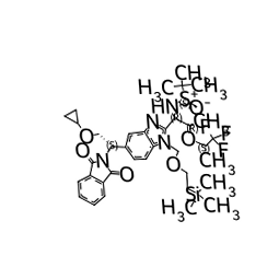 C[C@H](O[C@H](C)[C@H](N[S@+]([O-])C(C)(C)C)c1nc2cc([C@@H](COC3CC3)N3C(=O)c4ccccc4C3=O)ccc2n1COCC[Si](C)(C)C)C(F)(F)F